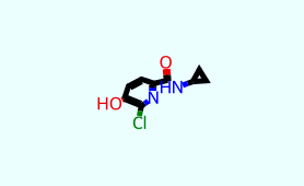 O=C(NC1CC1)c1ccc(O)c(Cl)n1